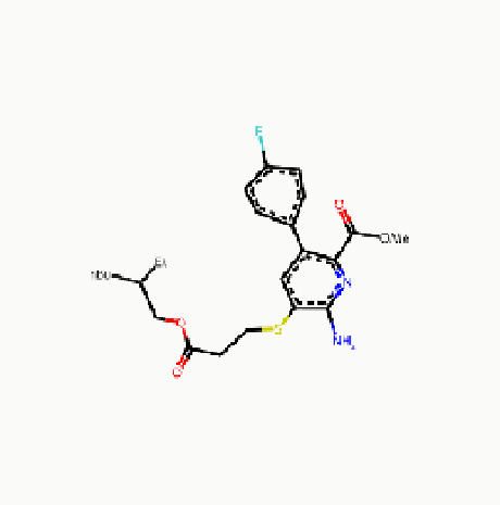 CCCCC(CC)COC(=O)CCSc1cc(-c2ccc(F)cc2)c(C(=O)OC)nc1N